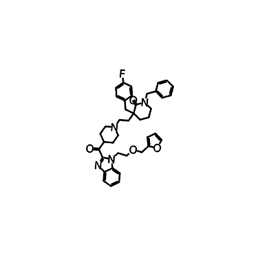 O=C(c1nc2ccccc2n1CCOCc1ccco1)C1CCN(CCC2(Cc3ccc(F)cc3)CCCN(Cc3ccccc3)C2=O)CC1